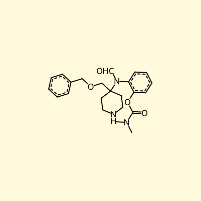 CN(C)C(=O)Oc1ccccc1N(C=O)C1(COCc2ccccc2)CCNCC1